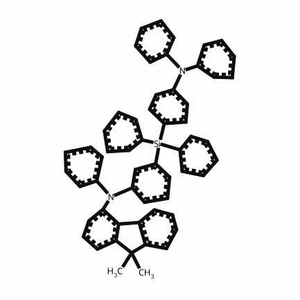 CC1(C)c2ccccc2-c2c(N(c3ccccc3)c3cccc([Si](c4ccccc4)(c4ccccc4)c4ccc(N(c5ccccc5)c5ccccc5)cc4)c3)cccc21